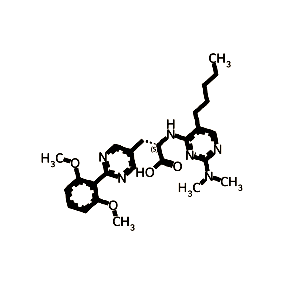 CCCCCc1cnc(N(C)C)nc1N[C@@H](Cc1cnc(-c2c(OC)cccc2OC)nc1)C(=O)O